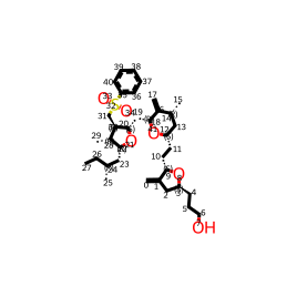 C=C1C[C@H](CCCO)O[C@H]1CC[C@H]1C[C@@H](C)C(=C)[C@@H](C[C@@H]2O[C@H](C[C@H](C)CC)[C@H](C)[C@H]2CS(=O)(=O)c2ccccc2)O1